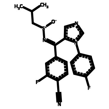 CC(C)C[S+]([O-])N=C(c1ccc(C#N)c(F)c1)c1cncn1-c1ccc(F)cc1